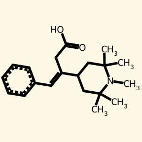 CN1C(C)(C)CC(C(=Cc2ccccc2)CC(=O)O)CC1(C)C